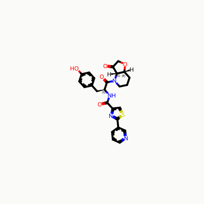 O=C(N[C@@H](Cc1ccc(O)cc1)C(=O)N1CCC[C@H]2OCC(=O)[C@H]21)c1csc(-c2cccnc2)n1